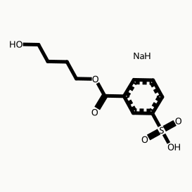 O=C(OCCCCO)c1cccc(S(=O)(=O)O)c1.[NaH]